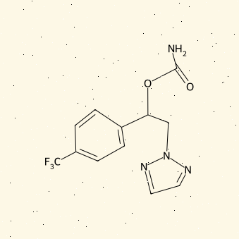 NC(=O)OC(Cn1nccn1)c1ccc(C(F)(F)F)cc1